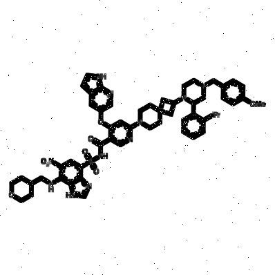 COc1ccc(CN2CCN(C3CC4(CCN(c5cc(Oc6cnc7[nH]ccc7c6)c(C(=O)NS(=O)(=O)c6cc([N+](=O)[O-])c(NCC7CCOCC7)c7[nH]cnc67)cn5)CC4)C3)C(c3ccccc3C(C)C)C2)cc1